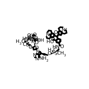 CC(C)(C)SSCOC1C[C@H](n2cc(C#CCOCSSC(C)(C)CNC(=O)c3ccc(C4=c5cc6c7c(c5Oc5c4cc4c8c5CCCN8CCC4)CCC[N+]=7CCC6)c(C(=O)O)c3)c3c(N)ncnc32)O[C@@H]1COP(=O)(O)OP(=O)(O)OP(=O)(O)O